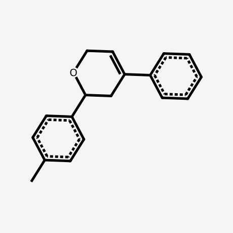 Cc1ccc(C2CC(c3ccccc3)=CCO2)cc1